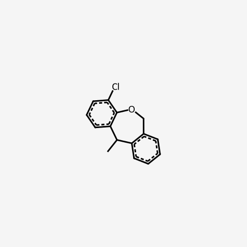 CC1c2ccccc2COc2c(Cl)cccc21